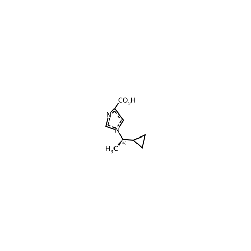 C[C@H](C1CC1)n1cnc(C(=O)O)c1